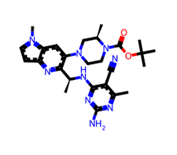 Cc1nc(N)nc(N[C@@H](C)c2nc3ccn(C)c3cc2N2CCN(C(=O)OC(C)(C)C)[C@H](C)C2)c1C#N